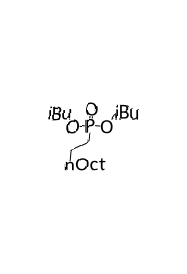 CCCCCCCCCCP(=O)(OC(C)CC)OC(C)CC